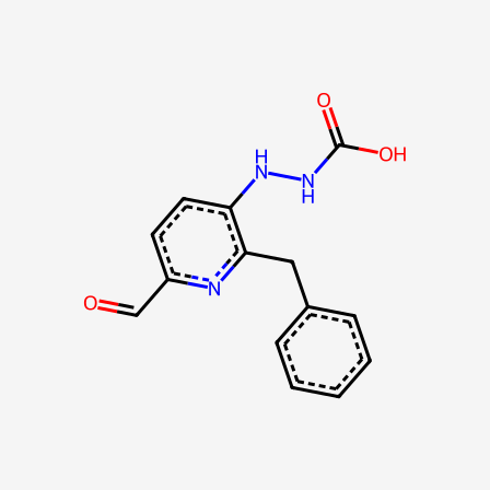 O=Cc1ccc(NNC(=O)O)c(Cc2ccccc2)n1